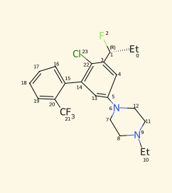 CC[C@@H](F)c1cc(N2CCN(CC)CC2)cc(-c2ccccc2C(F)(F)F)c1Cl